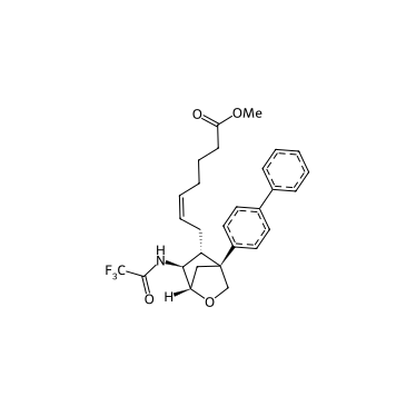 COC(=O)CCC/C=C\C[C@H]1[C@H](NC(=O)C(F)(F)F)[C@@H]2C[C@@]1(c1ccc(-c3ccccc3)cc1)CO2